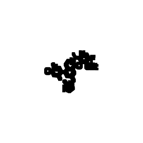 CCOc1cc([C@H](C)N2CCc3c(cc(Cn4ccnc4C)cc3-c3cn(C)c(=O)cc3C)C2=O)ncc1F